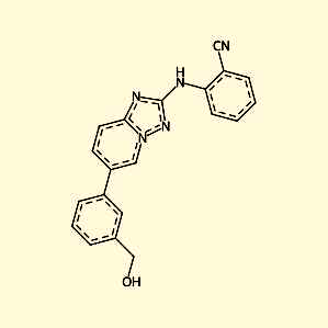 N#Cc1ccccc1Nc1nc2ccc(-c3cccc(CO)c3)cn2n1